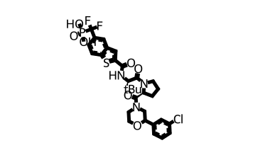 CC(C)(C)[C@H](NC(=O)c1cc2cc(C(F)(F)P(=O)(O)O)ccc2s1)C(=O)N1CCC[C@H]1C(=O)N1CCOC(c2cccc(Cl)c2)C1